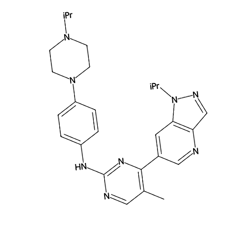 Cc1cnc(Nc2ccc(N3CCN(C(C)C)CC3)cc2)nc1-c1cnc2cnn(C(C)C)c2c1